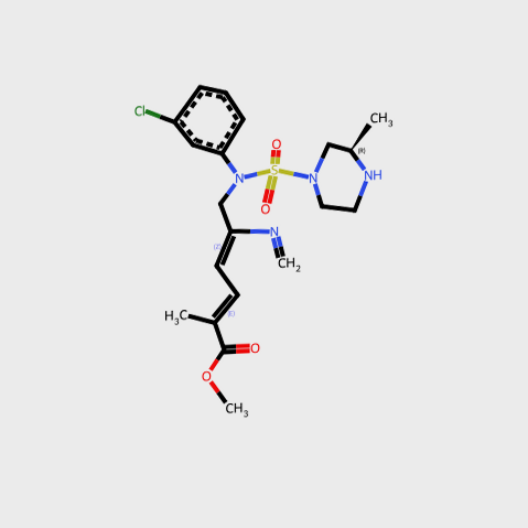 C=N/C(=C\C=C(/C)C(=O)OC)CN(c1cccc(Cl)c1)S(=O)(=O)N1CCN[C@H](C)C1